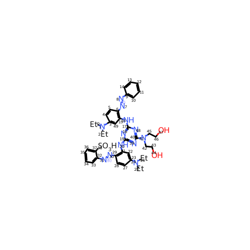 CCN(CC)c1ccc(/N=N/c2ccccc2)c(Nc2nc(Nc3cc(N(CC)CC)ccc3/N=N/c3ccccc3S(=O)(=O)O)nc(N(CCO)CCO)n2)c1